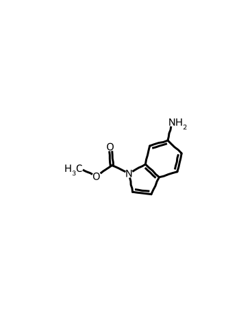 COC(=O)n1ccc2ccc(N)cc21